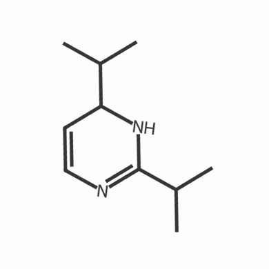 CC(C)C1=NC=CC(C(C)C)N1